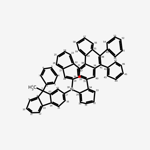 CC1(c2ccccc2)c2ccccc2-c2ccc(N(c3ccc4ccccc4c3)c3ccccc3-c3ccc4c(c3)c(-c3ccccc3)c(-c3ccccc3)c3ccccc34)cc21